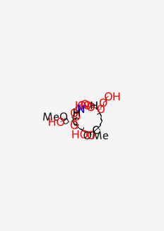 CO[C@@H]1C[C@H](CC(C)[C@@H]2CC(=O)[C@H](C)/C=C(\C)[C@@H](O)[C@@H](OC)C(=O)[C@H](C)C[C@H](C)/C=C/C=C/C=C(\C)[C@H](OCCOCCO)C[C@@H]3CC[C@@H](C)[C@@](O)(O3)C(=O)C(=O)N3CCCC[C@H]3C(=O)O2)CC[C@H]1O